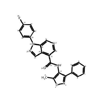 Cc1onc(-c2ccccc2)c1NC(=O)c1cncc2c1cnn2-c1ccc(F)cc1